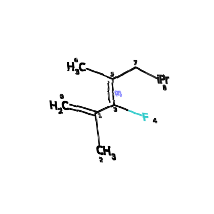 C=C(C)/C(F)=C(\C)CC(C)C